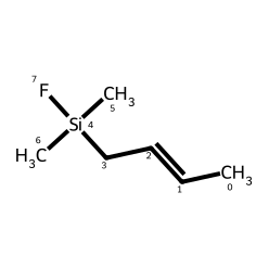 CC=CC[Si](C)(C)F